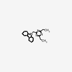 CCc1nc(CC)nc(Cn2c3ccccc3c3ccccc32)n1